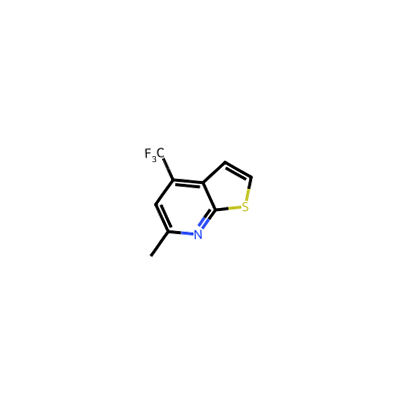 Cc1cc(C(F)(F)F)c2ccsc2n1